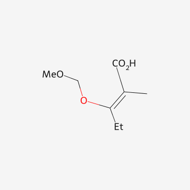 CCC(OCOC)=C(C)C(=O)O